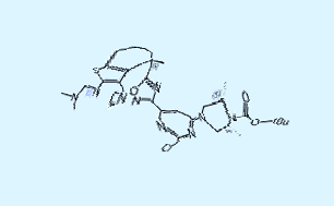 C[C@@H]1CN(c2cc(-c3noc([C@@]4(C)CCCc5sc(/N=C/N(C)C)c(C#N)c54)n3)nc(Cl)n2)C[C@H](C)N1C(=O)OC(C)(C)C